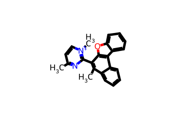 Cc1cc[n+](C)c(-c2c(C)c3ccccc3c3c2oc2ccccc23)n1